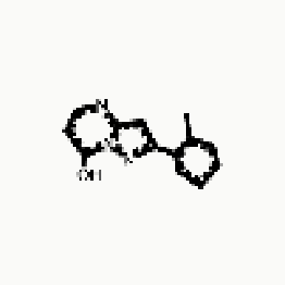 Cc1ccccc1-c1cc2nccc(O)n2n1